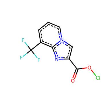 O=C(OCl)c1cn2cccc(C(F)(F)F)c2n1